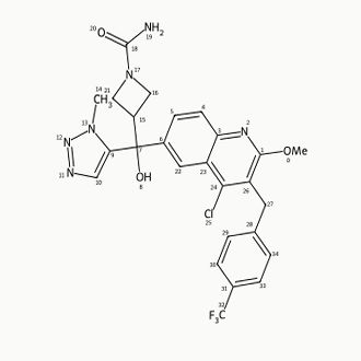 COc1nc2ccc(C(O)(c3cnnn3C)C3CN(C(N)=O)C3)cc2c(Cl)c1Cc1ccc(C(F)(F)F)cc1